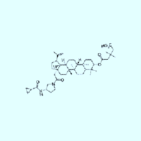 C=C(C)[C@@H]1CC[C@]2(CC(=O)N3CC[C@H](NC(=O)C4CC4)C3)CC[C@]3(C)[C@H](CC[C@@H]4[C@@]5(C)CC[C@H](OC(=O)CC(C)(C)CC(=O)O)C(C)(C)C5CC[C@]43C)[C@@H]12